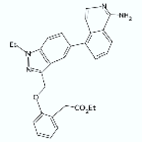 CCOC(=O)Cc1ccccc1OCc1nn(CC)c2ccc(-c3cccc4c(N)nccc34)cc12